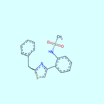 CS(=O)(=O)Nc1ccccc1-c1csc(Cc2ccccc2)n1